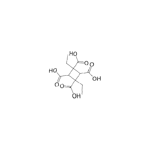 CCC1(C(=O)O)C(C(=O)O)C(CC)(C(=O)O)C1C(=O)O